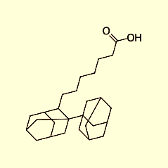 O=C(O)CCCCCCC1C2CC3CC(C2)CC1(C12CC4CC(CC(C4)C1)C2)C3